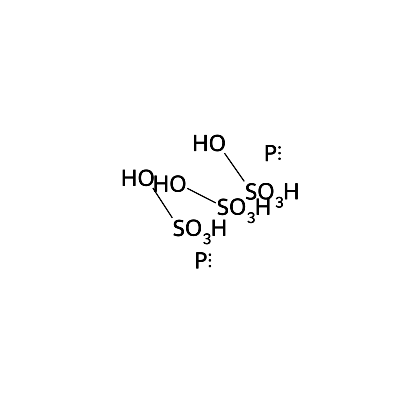 O=S(=O)(O)O.O=S(=O)(O)O.O=S(=O)(O)O.[P].[P]